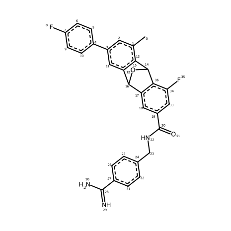 Cc1cc(-c2ccc(F)cc2)cc2c1C1OC2c2cc(C(=O)NCc3ccc(C(=N)N)cc3)cc(F)c21